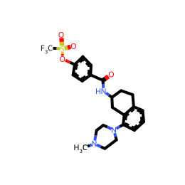 CN1CCN(c2cccc3c2CC(NC(=O)c2ccc(OS(=O)(=O)C(F)(F)F)cc2)CC3)CC1